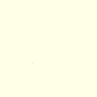 CCN1C(=O)C(CCNc2cccc(NC(=O)COCCOC)n2)SC1CC(C#N)C(=O)NCC#N